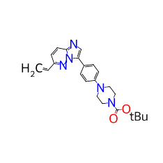 C=Cc1ccc2ncc(-c3ccc(N4CCN(C(=O)OC(C)(C)C)CC4)cc3)n2n1